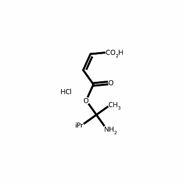 CC(C)C(C)(N)OC(=O)/C=C\C(=O)O.Cl